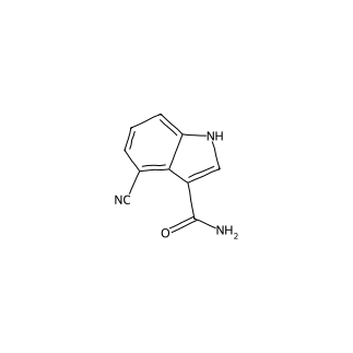 N#Cc1cccc2[nH]cc(C(N)=O)c12